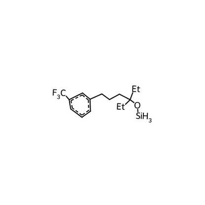 CCC(CC)(CCCc1cccc(C(F)(F)F)c1)O[SiH3]